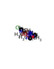 COc1cccc(OC)c1-n1c(NS(=O)(=O)[C@H](C)[C@@H](OC)c2ccc(Cl)cn2)nnc1-c1ccccn1